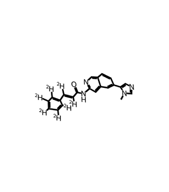 [2H]/C(C(=O)Nc1cc2cc(-c3cncn3C)ccc2cn1)=C(/[2H])c1c([2H])c([2H])c([2H])c([2H])c1[2H]